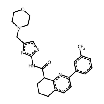 O=C(Nc1nc(CN2CCOCC2)cs1)C1CCCc2ccc(-c3cccc(C(F)(F)F)c3)nc21